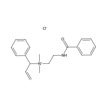 C=CC(c1ccccc1)[N+](C)(C)CCNC(=O)c1ccccc1.[Cl-]